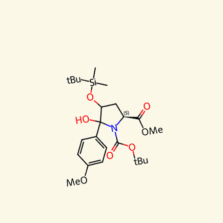 COC(=O)[C@@H]1CC(O[Si](C)(C)C(C)(C)C)C(O)(c2ccc(OC)cc2)N1C(=O)OC(C)(C)C